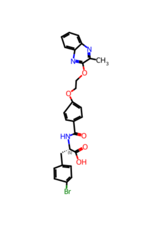 Cc1nc2ccccc2nc1OCCOc1ccc(C(=O)N[C@@H](Cc2ccc(Br)cc2)C(=O)O)cc1